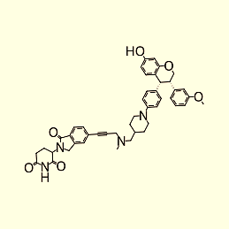 COc1cccc([C@H]2COc3cc(O)ccc3[C@H]2c2ccc(N3CCC(CN(C)CC#Cc4ccc5c(c4)CN(C4CCC(=O)NC4=O)C5=O)CC3)cc2)c1